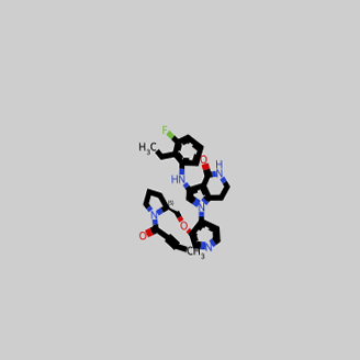 CC#CC(=O)N1CCC[C@H]1COc1cnccc1-n1cc(Nc2cccc(F)c2CC)c2c1CCNC2=O